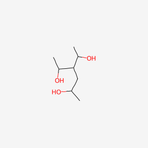 CC(O)CC(C(C)O)C(C)O